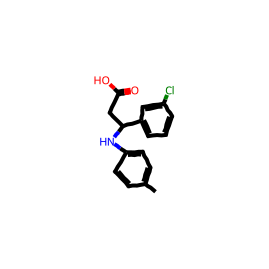 Cc1ccc(NC(CC(=O)O)c2cccc(Cl)c2)cc1